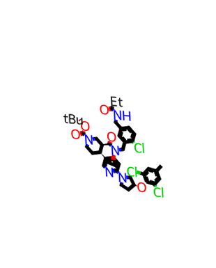 CCC(=O)NCc1ccc(Cl)c(CN(C(=O)[C@@H]2CN(C(=O)OC(C)(C)C)CC[C@H]2c2ccc(N3CC[C@@H](Oc4c(Cl)cc(C)cc4Cl)C3)nc2)C2CC2)c1